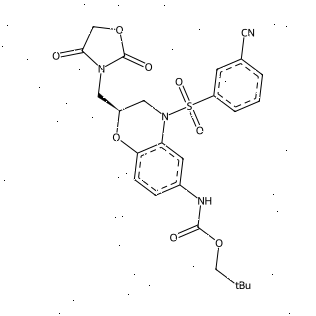 CC(C)(C)COC(=O)Nc1ccc2c(c1)N(S(=O)(=O)c1cccc(C#N)c1)C[C@H](CN1C(=O)COC1=O)O2